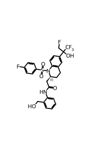 O=C(C[C@@H]1CCc2cc(C(O)(CF)C(F)(F)F)ccc2N1S(=O)(=O)c1ccc(F)cc1)Nc1ccccc1CO